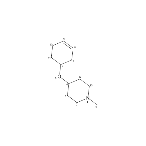 CN1CCC(OC2CC=CCC2)CC1